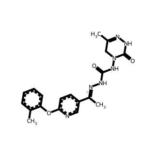 CC1=NNC(=O)N(NC(=O)N/N=C(\C)c2ccc(Oc3ccccc3C)nc2)C1